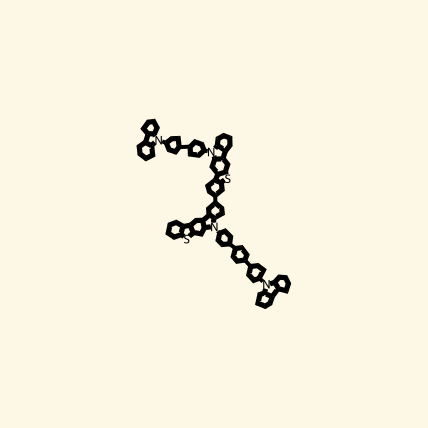 c1ccc2c(c1)sc1cc3c(cc12)c1cc(-c2ccc4c(c2)sc2cc5c6ccccc6n(-c6ccc(-c7ccc(-n8c9ccccc9c9ccccc98)cc7)cc6)c5cc24)ccc1n3-c1ccc(-c2ccc(-c3ccc(-n4c5ccccc5c5ccccc54)cc3)cc2)cc1